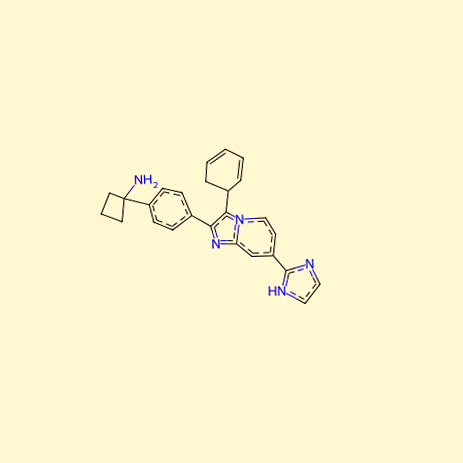 NC1(c2ccc(-c3nc4cc(-c5ncc[nH]5)ccn4c3C3C=CC=CC3)cc2)CCC1